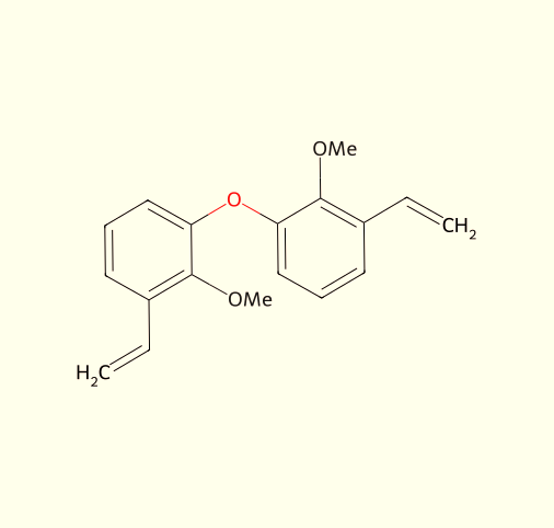 C=Cc1cccc(Oc2cccc(C=C)c2OC)c1OC